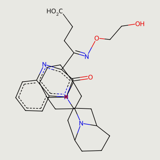 O=C(O)CC/C(=N\OCCO)c1nc2ccccc2n(C2CC3CCCC(C2)N3C2CC3CCCC(C3)C2)c1=O